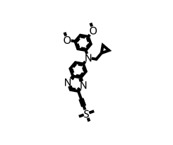 COc1cc(OC)cc(N(CC2CC2)c2ccc3ncc(C#CS(C)(C)C)nc3c2)c1